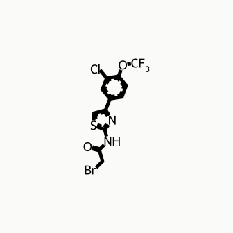 O=C(CBr)Nc1nc(-c2ccc(OC(F)(F)F)c(Cl)c2)cs1